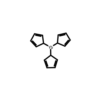 C1=C[CH]([Yb]([CH]2C=CC=C2)[CH]2C=CC=C2)C=C1